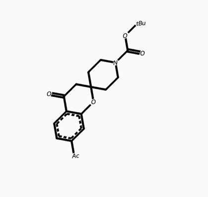 CC(=O)c1ccc2c(c1)OC1(CCN(C(=O)OC(C)(C)C)CC1)CC2=O